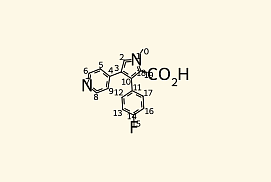 Cn1cc(-c2ccncc2)c(-c2ccc(F)cc2)c1C(=O)O